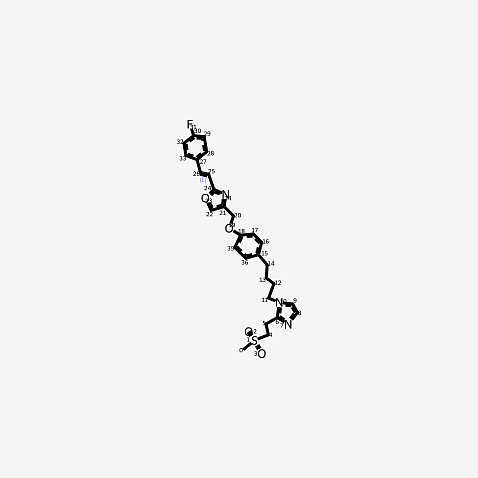 CS(=O)(=O)CCc1nccn1CCCCc1ccc(OCc2coc(/C=C/c3ccc(F)cc3)n2)cc1